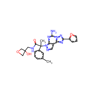 Cc1cccc(C(C)(C(=O)NCC2(O)COC2)n2ncc3c2nc(N)n2nc(-c4ccco4)nc32)c1